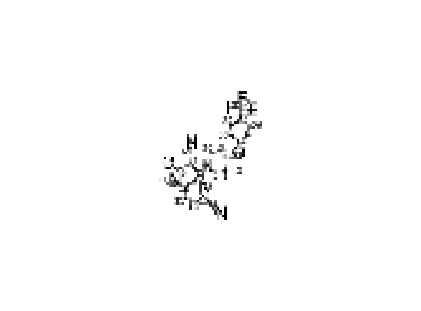 C[C@@H]1CN(c2c(C#N)c(=O)n(C)c3ccc(C#N)nc23)CC[C@@H]1Oc1ccc(C(F)(F)F)cc1